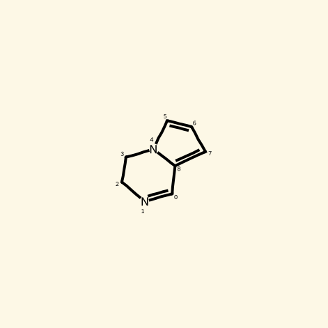 C1=NCCn2cccc21